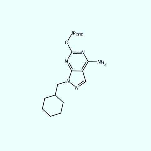 CCCC(C)Oc1nc(N)c2cnn(CC3CCCCC3)c2n1